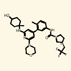 Cc1ccc(NC(=O)N2CC[C@@H](CC(F)(F)F)C2)cc1-c1cc(NC2(C)CCC(O)CC2)nc(N2CCOCC2)c1